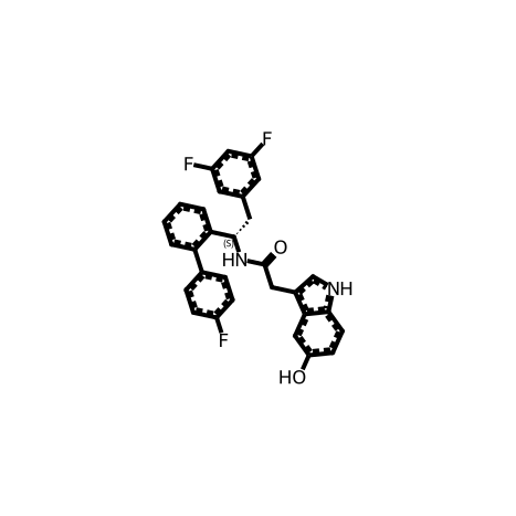 O=C(Cc1c[nH]c2ccc(O)cc12)N[C@@H](Cc1cc(F)cc(F)c1)c1ccccc1-c1ccc(F)cc1